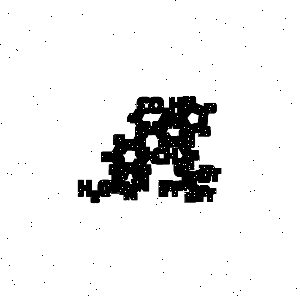 Cc1c([C@@H](CC(=O)O)c2cc3c(c(CO[Si](C(C)C)(C(C)C)C(C)C)c2)CCC3)ccc2c1nnn2C